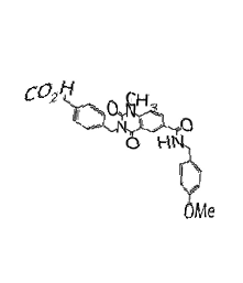 COc1ccc(CNC(=O)c2ccc3c(c2)c(=O)n(Cc2ccc(CC(=O)O)cc2)c(=O)n3C)cc1